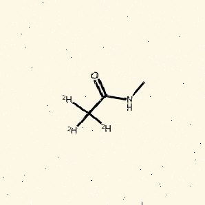 [2H]C([2H])([2H])C(=O)NC